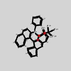 O=S(=O)(Oc1ccc2ccccc2c1-c1c(P(c2ccccc2)c2ccccc2)ccc2ccccc12)C(F)(F)F